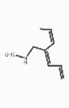 C=C/C=C(\C=C/C)CNC=O